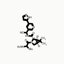 CC(=O)NC(C(=O)N1C[C@H]2[C@@H]([C@H]1C(=O)NC(C#N)c1cncc(-c3ccn[nH]3)c1)C2(C)C)C(C)(C)C